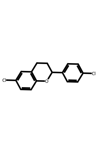 Clc1ccc(C2CCc3cc(Cl)ccc3O2)cc1